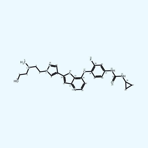 CN(CCO)CCn1cc(-c2cc3nccc(Oc4ccc(NC(=O)NC5CC5)cc4F)c3s2)cn1